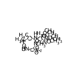 Cc1cc2ccc1[C@@H](C)COC(=O)Nc1ccc(S(=O)(=O)C3CC3)c(c1)CN(C)C(=O)C2Nc1cc(F)c2c(N(C(=O)OC(C)(C)C)C(=O)OC(C)(C)C)nccc2c1